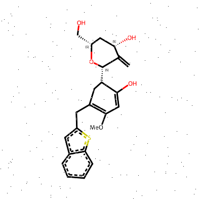 C=C1[C@H](C2CC(Cc3cc4ccccc4s3)=C(OC)C=C2O)O[C@H](CO)C[C@@H]1O